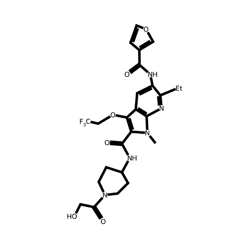 CCc1nc2c(cc1NC(=O)c1ccoc1)c(OCC(F)(F)F)c(C(=O)NC1CCN(C(=O)CO)CC1)n2C